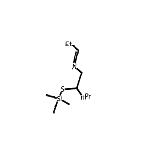 CCC=NCC(CCC)S[Si](C)(C)C